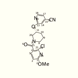 COc1ccc(C(=O)N2CCC[C@@H](Oc3cc(C#N)ccn3)C2)c(Cl)n1